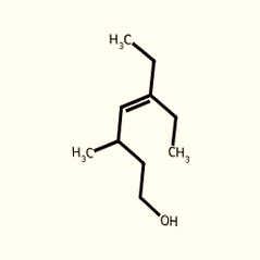 CCC(=CC(C)CCO)CC